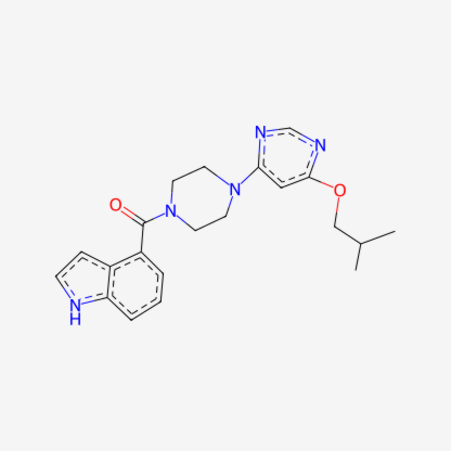 CC(C)COc1cc(N2CCN(C(=O)c3cccc4[nH]ccc34)CC2)ncn1